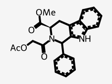 COC(=O)[C@H]1Cc2c([nH]c3ccccc23)C(c2ccccc2)N1C(=O)COC(C)=O